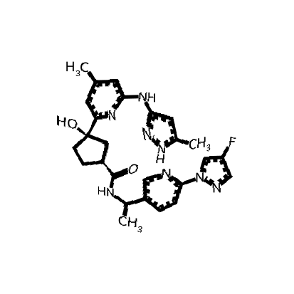 Cc1cc(Nc2cc(C)[nH]n2)nc([C@@]2(O)CC[C@H](C(=O)NC(C)c3ccc(-n4cc(F)cn4)nc3)C2)c1